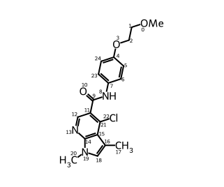 COCCOc1ccc(NC(=O)c2cnc3c(c(C)cn3C)c2Cl)cc1